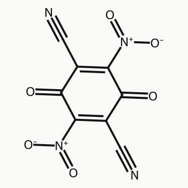 N#CC1=C([N+](=O)[O-])C(=O)C(C#N)=C([N+](=O)[O-])C1=O